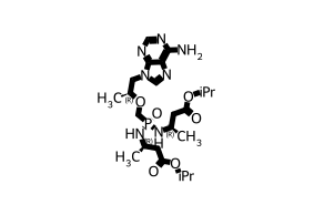 CC(C)OC(=O)C[C@@H](C)NP(=O)(CO[C@H](C)Cn1cnc2c(N)ncnc21)N[C@H](C)CC(=O)OC(C)C